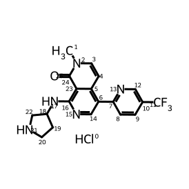 Cl.Cn1ccc2c(-c3ccc(C(F)(F)F)cn3)cnc(NC3CCNC3)c2c1=O